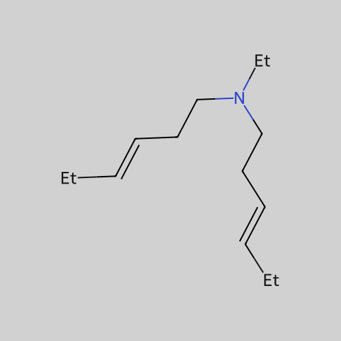 [CH2]CN(CCC=CCC)CCC=CCC